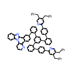 CC(C)Cc1cnc(-c2ccc(-c3ccccc3-c3cc(-c4ccccc4-c4ccc(-c5cc(CC(C)C)c(CC(C)C)cn5)cc4)cc(-c4ccccc4-c4ccc5c(c4)c4nc6ccccc6n4c4cccnc54)c3)cc2)cc1CC(C)C